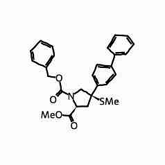 COC(=O)[C@@H]1C[C@@](SC)(c2ccc(-c3ccccc3)cc2)CN1C(=O)OCc1ccccc1